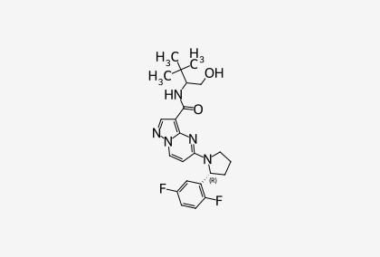 CC(C)(C)C(CO)NC(=O)c1cnn2ccc(N3CCC[C@@H]3c3cc(F)ccc3F)nc12